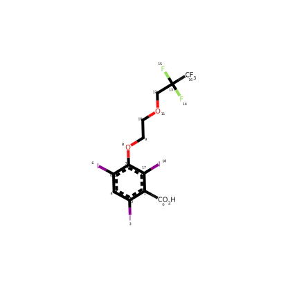 O=C(O)c1c(I)cc(I)c(OCCOCC(F)(F)C(F)(F)F)c1I